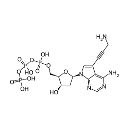 NCC#Cc1cn([C@H]2C[C@@H](O)[C@@H](COP(=O)(O)OP(=O)(O)OP(=O)(O)O)O2)c2ncnc(N)c12